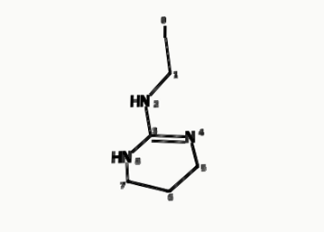 ICNC1=NCCCN1